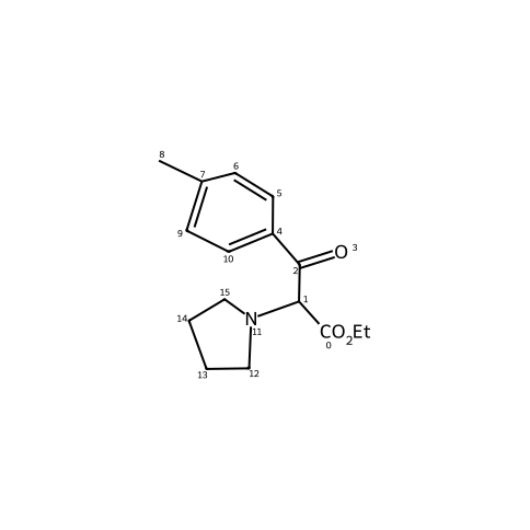 CCOC(=O)C(C(=O)c1ccc(C)cc1)N1CCCC1